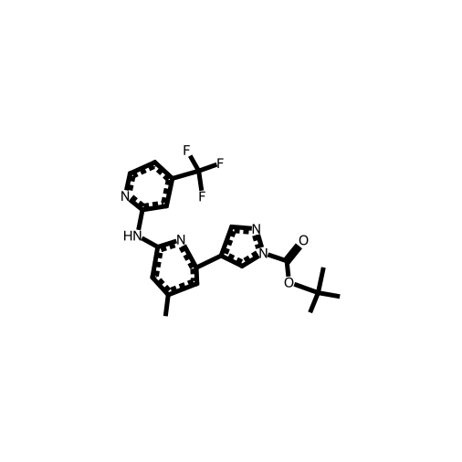 Cc1cc(Nc2cc(C(F)(F)F)ccn2)nc(-c2cnn(C(=O)OC(C)(C)C)c2)c1